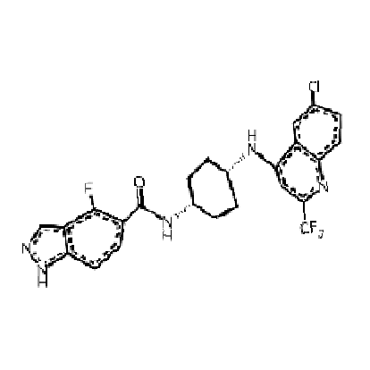 O=C(N[C@H]1CC[C@@H](Nc2cc(C(F)(F)F)nc3ccc(Cl)cc23)CC1)c1ccc2[nH]ncc2c1F